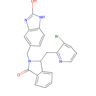 O=C1c2ccccc2C(Cc2ncccc2Br)N1Cc1ccc2[nH]c(O)nc2c1